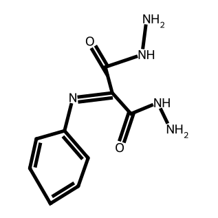 NNC(=O)C(=Nc1ccccc1)C(=O)NN